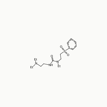 CCN(CC)CCNC(=O)N(CC)CCS(=O)(=O)c1ccccc1